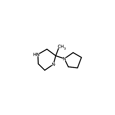 CC1(N2CCCC2)CNCC[N]1